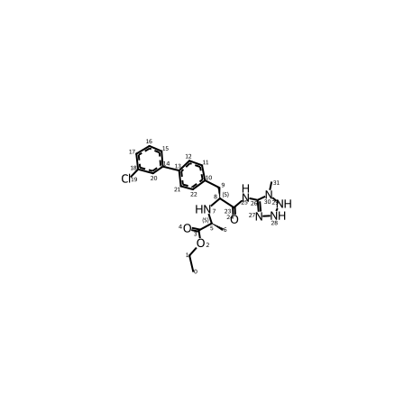 CCOC(=O)[C@H](C)N[C@@H](Cc1ccc(-c2cccc(Cl)c2)cc1)C(=O)NC1=NNNN1C